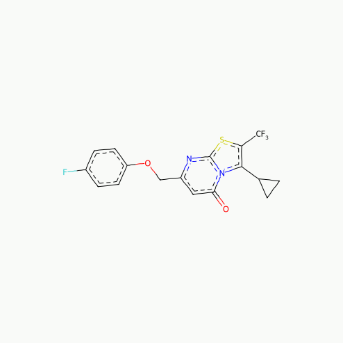 O=c1cc(COc2ccc(F)cc2)nc2sc(C(F)(F)F)c(C3CC3)n12